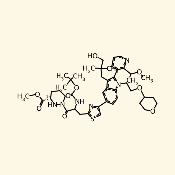 COC(=O)[C@@H]1CCCN(C(=O)C(Cc2nc(-c3ccc4c(c3)c(CC(C)(C)CO)c(-c3cccnc3C(C)OC)n4CCOC3CCOCC3)cs2)NC(=O)OC(C)(C)C)N1